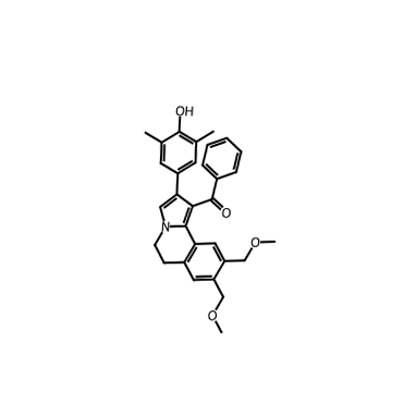 COCc1cc2c(cc1COC)-c1c(C(=O)c3ccccc3)c(-c3cc(C)c(O)c(C)c3)cn1CC2